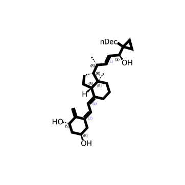 C=C1/C(=C\C=C2/CCC[C@]3(C)[C@@H]([C@H](C)/C=C/[C@H](O)C4(CCCCCCCCCC)CC4)CC[C@@H]23)C[C@@H](O)C[C@@H]1O